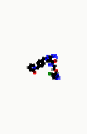 Nc1nn(Cc2ccc(Cn3ccccc3=O)cc2)cc1C(=O)NCCOc1n[nH]cc1Cl